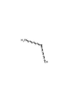 C#CC#CC#CC#C/B=N/C#CC#CC#CC#CC